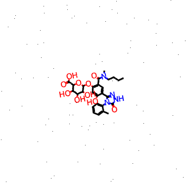 CCCCN(C)C(=O)c1cc(-c2n[nH]c(=O)n2-c2ccccc2C)c(O)cc1OC1OC(C(=O)O)C(O)C(O)C1O